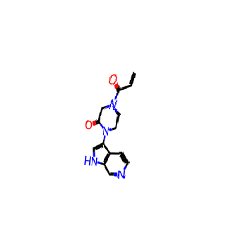 C=CC(=O)N1CCN(c2c[nH]c3cnccc23)C(=O)C1